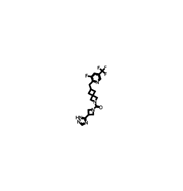 O=C(N1CC(c2ncn[nH]2)C1)N1CC2(CC(Cc3ncc(C(F)(F)F)cc3F)C2)C1